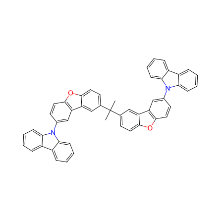 CC(C)(c1ccc2oc3ccc(-n4c5ccccc5c5ccccc54)cc3c2c1)c1ccc2oc3ccc(-n4c5ccccc5c5ccccc54)cc3c2c1